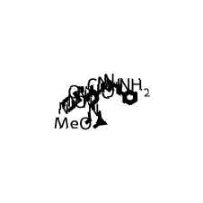 COCCN(CC1CC1C)c1cc(-c2nnc([C@](C)(N)Cc3ccccc3)o2)c(Cl)c(N(C)S(=O)(=O)N2CCN(C)CC2)n1